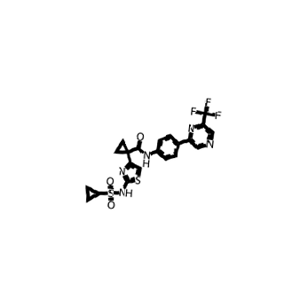 O=C(Nc1ccc(-c2cncc(C(F)(F)F)n2)cc1)C1(c2csc(NS(=O)(=O)C3CC3)n2)CC1